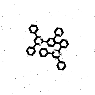 c1ccc(-c2cc(-c3ccccc3)nc(-c3ccc(-c4ccccc4-c4nc(-c5ccccc5)cc(-c5ccccc5)n4)c(-c4ccccc4)c3)n2)cc1